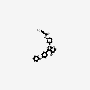 CC#CC(=O)NN1CCC[C@@H](n2nc(-c3ccc(Oc4ccccc4)cc3)c3c(N)ncnc32)C1